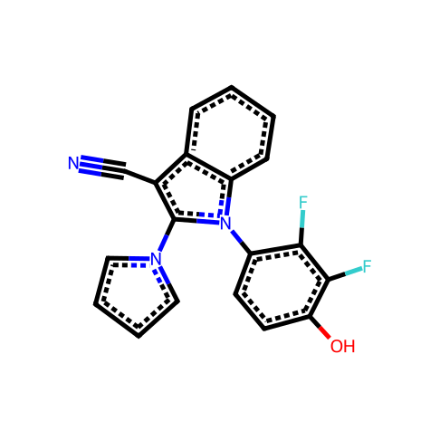 N#Cc1c(-n2cccc2)n(-c2ccc(O)c(F)c2F)c2ccccc12